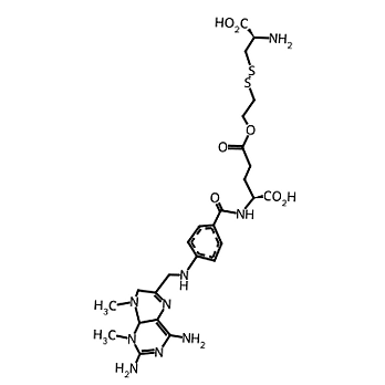 CN1CC(CNc2ccc(C(=O)N[C@@H](CCC(=O)OCCSSC[C@H](N)C(=O)O)C(=O)O)cc2)=NC2=C(N)N=C(N)N(C)C21